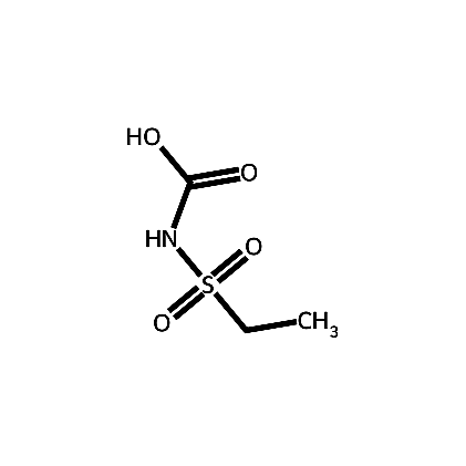 CCS(=O)(=O)NC(=O)O